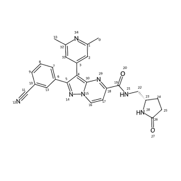 Cc1cc(-c2c(-c3cccc(C#N)c3)nn3ccc(C(=O)NC[C@@H]4CCC(=O)N4)nc23)cc(C)n1